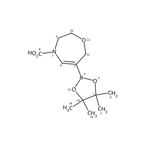 CC1(C)OB(C2=CN(C(=O)O)CCOC2)OC1(C)C